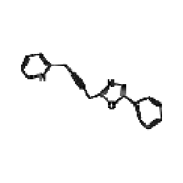 C(#CCc1ncc(-c2ccccc2)o1)Cc1ccccn1